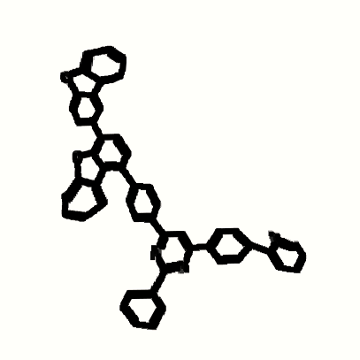 c1ccc(-c2nc(-c3ccc(-c4ccccn4)cc3)cc(-c3ccc(-c4ccc(-c5ccc6oc7ccccc7c6c5)c5oc6ccccc6c45)cc3)n2)cc1